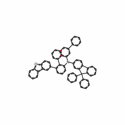 c1ccc(-c2cccc(N(c3ccc4c(c3)C(c3ccccc3)(c3ccccc3)c3ccccc3-4)c3cccc(-c4ccc5oc6ccccc6c5c4)c3-c3ccccc3)c2)cc1